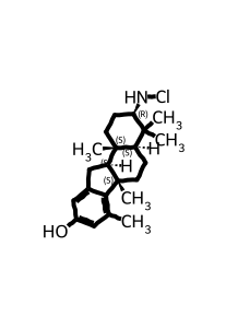 Cc1cc(O)cc2c1[C@@]1(C)CC[C@@H]3C(C)(C)[C@H](NCl)CC[C@@]3(C)[C@@H]1C2